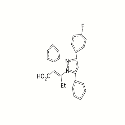 CCC(=C(C(=O)O)c1ccccc1)n1nc(-c2ccc(F)cc2)cc1-c1ccccc1